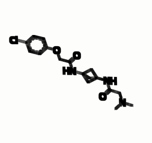 CN(C)CC(=O)NC12CC(NC(=O)COc3ccc(Cl)cc3)(C1)C2